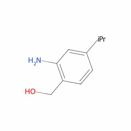 CC(C)c1ccc(CO)c(N)c1